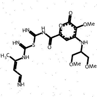 COCC(COC)Nc1cc(C(=O)NC(=N)SC(=N)N/C(C)=C\C=N)oc(=O)c1OC